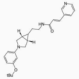 CC(C)(C)Oc1cccc(N2C[C@@H]3C(CCNC(=O)/C=C/c4cccnc4)[C@@H]3C2)c1